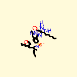 C=C(CC)/C(=C/C(/C=C\C)=C/C(CC)OC)CN(C)[S+]([O-])c1ccc(CCC)c(-c2nc(C(=N)CCC/C=C/C)c(NC)c(=O)[nH]2)c1